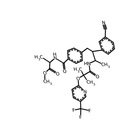 COC(=O)C(C)NC(=O)c1ccc(CC(c2cccc(C#N)c2)C(C)NC(=O)C(C)(C)Oc2ccc(C(F)(F)F)cn2)cc1